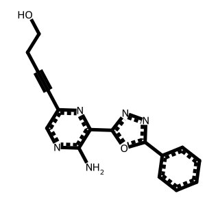 Nc1ncc(C#CCCO)nc1-c1nnc(-c2ccccc2)o1